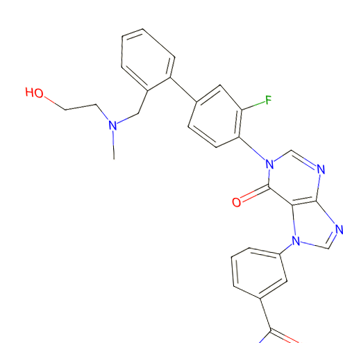 CN(CCO)Cc1ccccc1-c1ccc(-n2cnc3ncn(-c4cccc(C(N)=O)c4)c3c2=O)c(F)c1